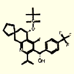 CC(C)c1nc2c(c(I)c1[C@@H](O)c1ccc(C(F)(F)F)cc1)[C@@H](O[Si](C)(C)C(C)(C)C)CC1(CCCC1)C2